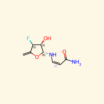 C=C1O[C@@H](N/C=C\C(N)=O)[C@H](O)[C@@H]1F